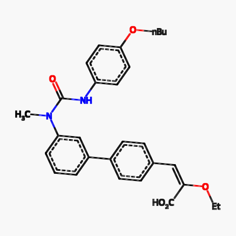 CCCCOc1ccc(NC(=O)N(C)c2cccc(-c3ccc(/C=C(/OCC)C(=O)O)cc3)c2)cc1